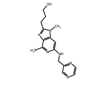 Cn1c(CCCO)nc2c(N)nc(NCc3cnccn3)cc21